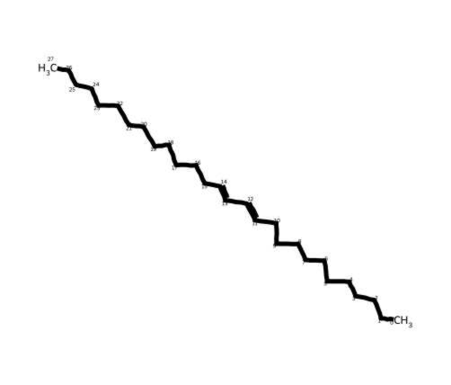 CCCCCCCCCCCC=CC=CCCCCCCCCCCCCC